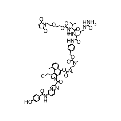 Cc1cccc2c(OC(=O)N(C)CCN(C)C(=O)OCc3ccc(NC(=O)[C@H](CCCNC(N)=O)NC(=O)[C@@H](NC(=O)OCCOCCN4C(=O)C=CC4=O)C(C)C)cc3)cc3c(c12)[C@H](CCl)CN3C(=O)c1cn2cc(NC(=O)c3ccc(O)cc3)ccc2n1